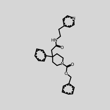 O=C(CC1(c2ccccc2)CCN(C(=O)OCc2ccccc2)CC1)NCCc1ccncc1